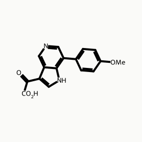 COc1ccc(-c2cncc3c(C(=O)C(=O)O)c[nH]c23)cc1